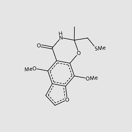 COc1c2c(c(OC)c3occc13)OC(C)(CSC)NC2=O